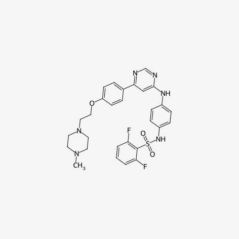 CN1CCN(CCOc2ccc(-c3cc(Nc4ccc(NS(=O)(=O)c5c(F)cccc5F)cc4)ncn3)cc2)CC1